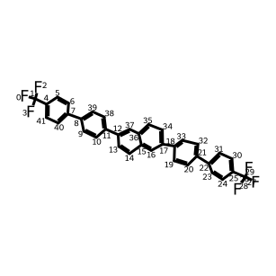 FC(F)(F)c1ccc(-c2ccc(-c3ccc4cc(-c5ccc(-c6ccc(C(F)(F)F)cc6)cc5)ccc4c3)cc2)cc1